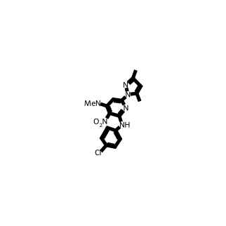 CNc1cc(-n2nc(C)cc2C)nc(Nc2ccc(Cl)cc2)c1[N+](=O)[O-]